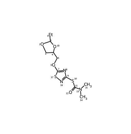 CCC1OCC(COc2nc(SC(=O)N(C)C)ns2)O1